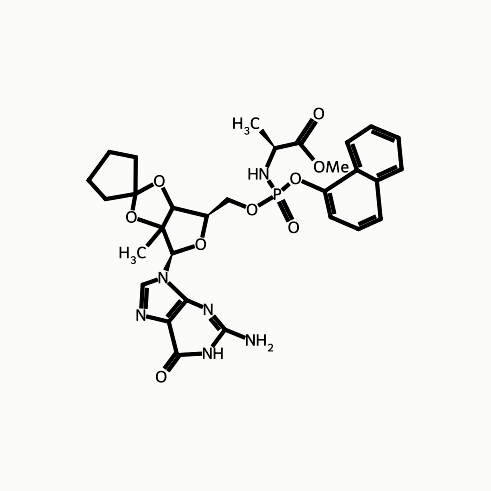 COC(=O)[C@H](C)NP(=O)(OC[C@H]1O[C@@H](n2cnc3c(=O)[nH]c(N)nc32)C2(C)OC3(CCCC3)OC12)Oc1cccc2ccccc12